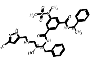 Cc1cc(CNC[C@@H](O)[C@H](Cc2ccccc2)NC(=O)c2cc(C(=O)N[C@H](C)c3ccccc3)cc(N(C)S(C)(=O)=O)c2)[nH]n1